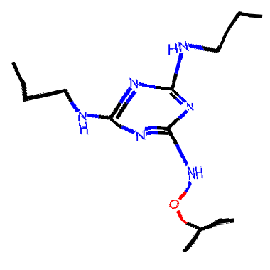 CCCNc1nc(NCCC)nc(NOC(C)C)n1